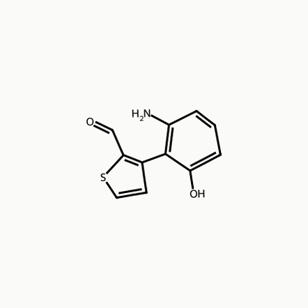 Nc1cccc(O)c1-c1ccsc1C=O